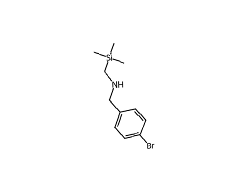 C[Si](C)(C)CNCc1ccc(Br)cc1